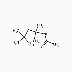 CC(=O)NC(C)(C)CC(C)(C)N